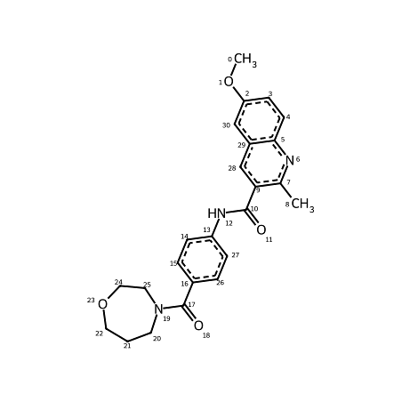 COc1ccc2nc(C)c(C(=O)Nc3ccc(C(=O)N4CCCOCC4)cc3)cc2c1